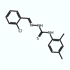 Cc1ccc(NC(=S)N/N=C/c2ccccc2Cl)c(C)c1